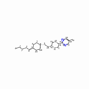 CCCCC[C@H]1CC[C@H](CCC2CCC(c3ncc(C)cn3)CC2)CC1